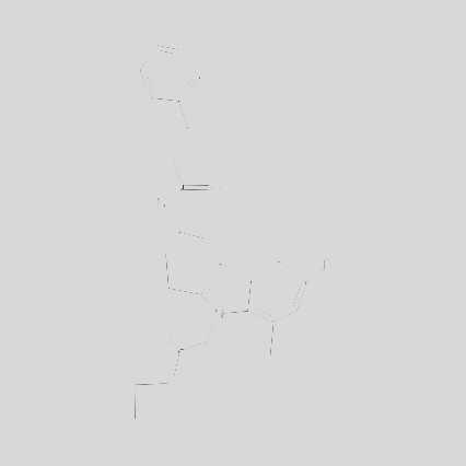 CCOC(=O)Cn1c2c(c3cc(F)cc(C)c31)CC(NC(=O)OCc1ccccc1)CC2